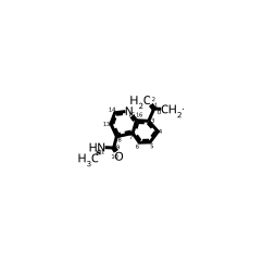 [CH2]C(=C)c1cccc2c(C(=O)NC)ccnc12